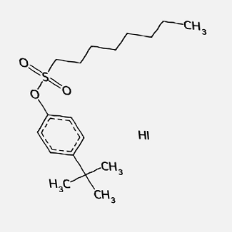 CCCCCCCCS(=O)(=O)Oc1ccc(C(C)(C)C)cc1.I